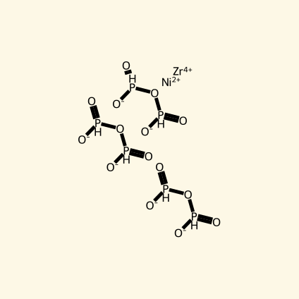 O=[PH]([O-])O[PH](=O)[O-].O=[PH]([O-])O[PH](=O)[O-].O=[PH]([O-])O[PH](=O)[O-].[Ni+2].[Zr+4]